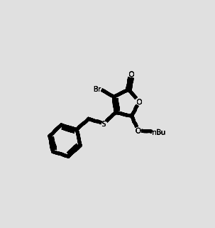 CCCCOC1OC(=O)C(Br)=C1SCc1ccccc1